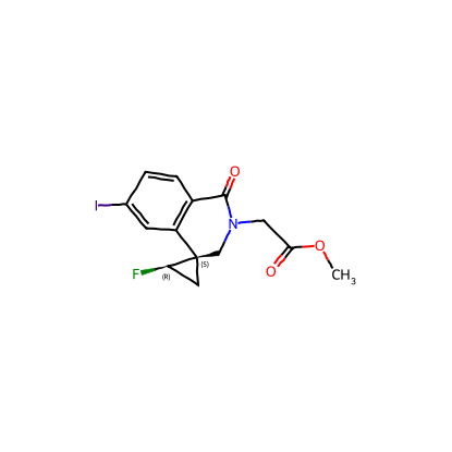 COC(=O)CN1C[C@]2(C[C@H]2F)c2cc(I)ccc2C1=O